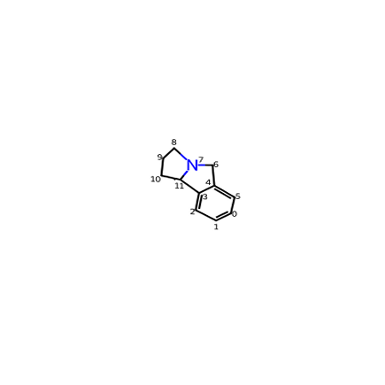 c1ccc2c(c1)CN1CCC[C]21